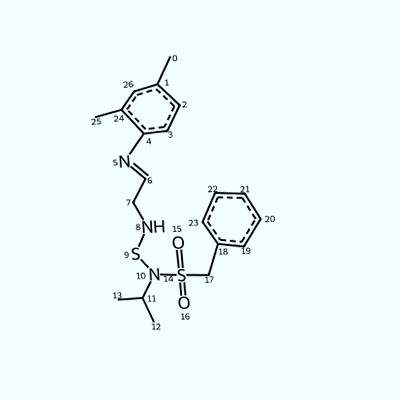 Cc1ccc(N=CCNSN(C(C)C)S(=O)(=O)Cc2ccccc2)c(C)c1